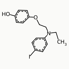 CCN(CCOc1ccc(O)cc1)c1ccc(I)cc1